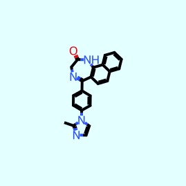 Cc1nccn1-c1ccc(C2=NCC(=O)Nc3c2ccc2ccccc32)cc1